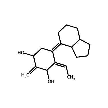 C=C1C(O)CC(=C2CCCC3CCCC23)C(=CC)C1O